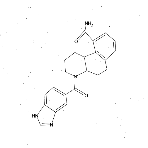 NC(=O)c1cccc2c1C1CCCN(C(=O)c3ccc4[nH]cnc4c3)C1CC2